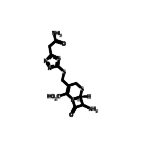 NC(=O)Cc1nnc(SCC2=C(C(=O)O)N3C(=O)C(N)[C@H]3SC2)s1